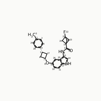 Cc1ccc([C@H]2C[C@H](Oc3ccc4[nH]cc(NC(=O)C56CC(F)(C5)C6)c4c3)C2)cc1